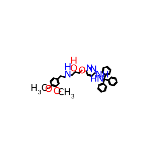 COc1ccc(CCNCC(O)COc2ccc(NNC(c3ccccc3)(c3ccccc3)c3ccccc3)nn2)cc1OC